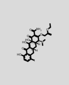 C=C(COC1=C(C(N)=O)C(=O)[C@@]2(O)C(O)=C3C(=O)c4c(O)ccc(I)c4C[C@H]3C[C@H]2[C@@H]1N(C)C)OCC